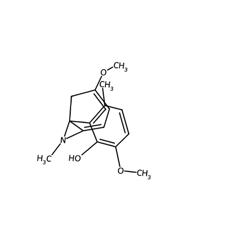 COC1=CC=C2N(C)C2(c2c(C)ccc(OC)c2O)C1